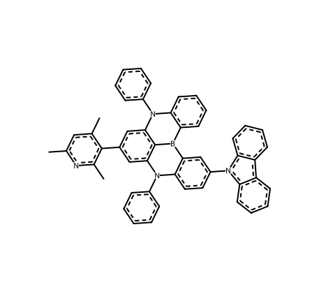 Cc1cc(C)c(-c2cc3c4c(c2)N(c2ccccc2)c2ccc(-n5c6ccccc6c6ccccc65)cc2B4c2ccccc2N3c2ccccc2)c(C)n1